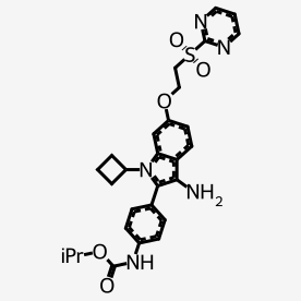 CC(C)OC(=O)Nc1ccc(-c2c(N)c3ccc(OCCS(=O)(=O)c4ncccn4)cc3n2C2CCC2)cc1